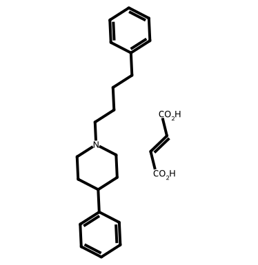 O=C(O)C=CC(=O)O.c1ccc(CCCCN2CCC(c3ccccc3)CC2)cc1